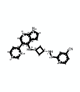 N#Cc1ccnc(SN[C@H]2C[C@H](Nc3c(-c4ccncn4)cnc4[nH]ccc34)C2)c1